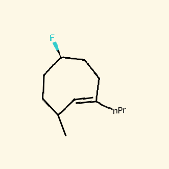 CCC/C1=C\C(C)CC[C@@H](F)CC1